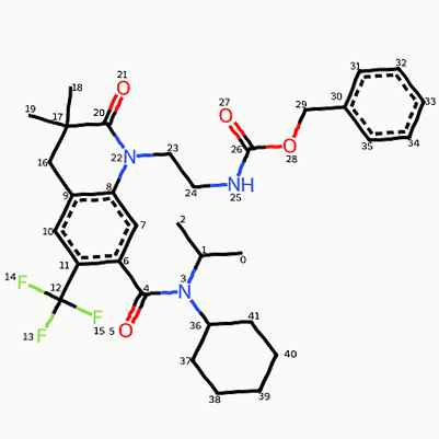 CC(C)N(C(=O)c1cc2c(cc1C(F)(F)F)CC(C)(C)C(=O)N2CCNC(=O)OCc1ccccc1)C1CCCCC1